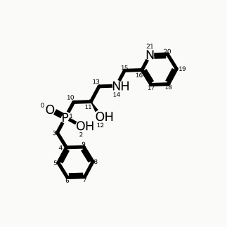 O=P(O)(Cc1ccccc1)C[C@H](O)CNCc1ccccn1